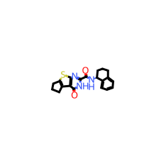 O=C(N[C@H]1CCCc2ccccc21)c1nc2sc3c(c2c(=O)[nH]1)CCC3